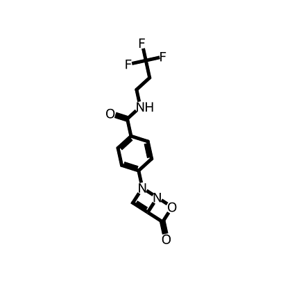 O=C(NCCC(F)(F)F)c1ccc(-n2cc3n2OC3=O)cc1